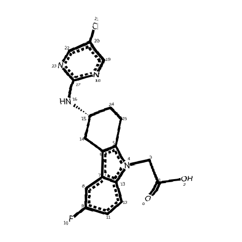 O=C(O)Cn1c2c(c3cc(F)ccc31)C[C@H](Nc1ncc(Cl)cn1)CC2